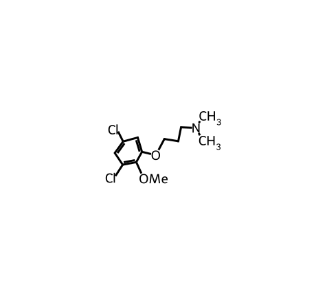 COc1c(Cl)cc(Cl)cc1OCCCN(C)C